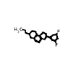 CCCC1CCc2c(ccc3c2CCC(c2cc(F)cc(F)c2)C3)C1